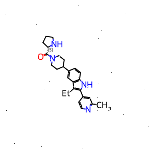 CCc1c(-c2ccnc(C)c2)[nH]c2ccc(C3CCN(C(=O)[C@@H]4CCCN4)CC3)cc12